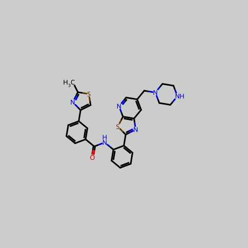 Cc1nc(-c2cccc(C(=O)Nc3ccccc3-c3nc4cc(CN5CCNCC5)cnc4s3)c2)cs1